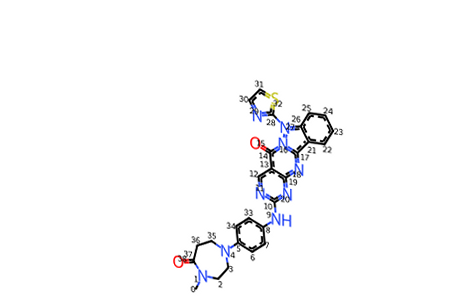 CN1CCN(c2ccc(Nc3ncc4c(=O)n5c(nc4n3)c3ccccc3n5-c3nccs3)cc2)CCC1=O